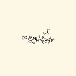 C=CCC(CC=C)C(C)(N=NC(C)(C)C(=O)O)C(=O)O